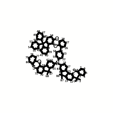 CC1(C)c2ccccc2Sc2c1ccc1c2-c2ccc(N(c3ccc(-c4cccc5c4Oc4c(ccc6c4-c4ccccc4C6(c4ccccc4)c4ccccc4)O5)cc3)c3ccc4c(c3)C(C)(C)c3ccc5c(c3-4)Oc3ccccc3S5)cc2C1(C)C